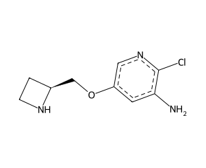 Nc1cc(OC[C@@H]2CCN2)cnc1Cl